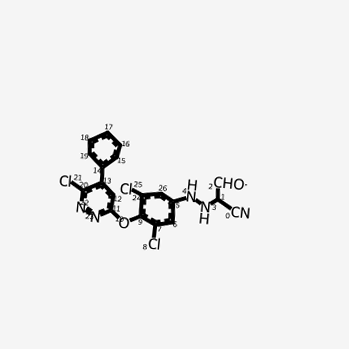 N#CC([C]=O)NNc1cc(Cl)c(Oc2cc(-c3ccccc3)c(Cl)nn2)c(Cl)c1